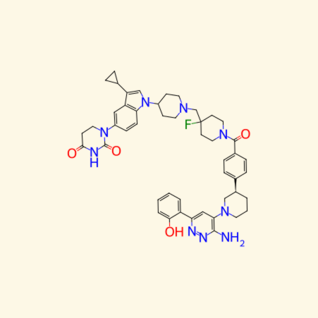 Nc1nnc(-c2ccccc2O)cc1N1CCC[C@H](c2ccc(C(=O)N3CCC(F)(CN4CCC(n5cc(C6CC6)c6cc(N7CCC(=O)NC7=O)ccc65)CC4)CC3)cc2)C1